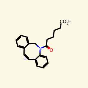 O=C(O)CCCCC(=O)N1Cc2ccccc2/C=C\c2ccccc21